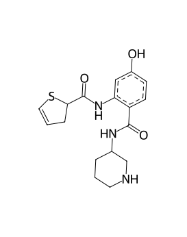 O=C(NC1CCCNC1)c1ccc(O)cc1NC(=O)C1CC=CS1